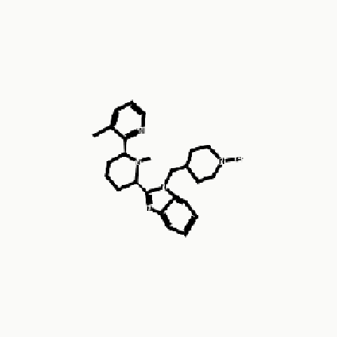 Cc1cccnc1[C@@H]1CCC[C@H](c2nc3ccccc3n2CC2CCN(C(C)C)CC2)N1C